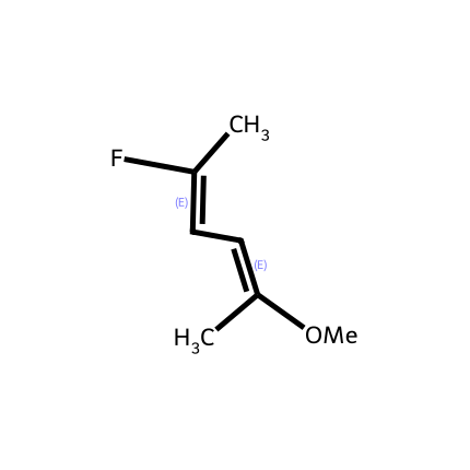 CO/C(C)=C/C=C(\C)F